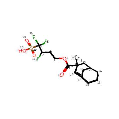 CC1(C(=O)OCCC(F)C(F)(F)S(=O)(=O)O)C=C2CCCC(C2)C1